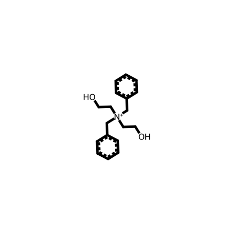 OCC[N+](CCO)(Cc1ccccc1)Cc1ccccc1